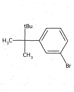 CC(C)(C)C(C)(C)c1cccc(Br)c1